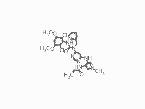 C=CC(=O)Nc1cn(C)nc1Nc1cc(N(Cc2ccccn2)C(=O)Nc2c(Cl)c(OC)cc(OC)c2Cl)ncn1